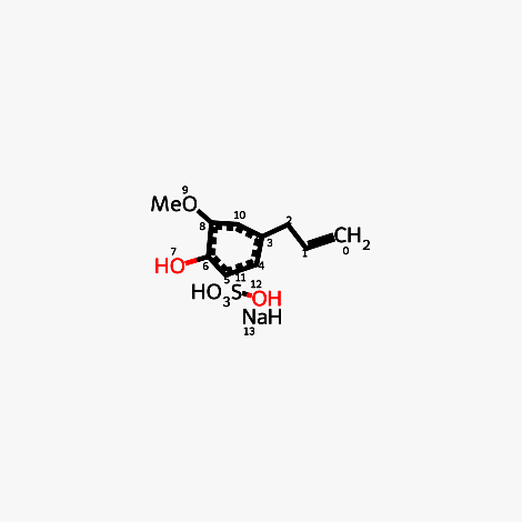 C=CCc1ccc(O)c(OC)c1.O=S(=O)(O)O.[NaH]